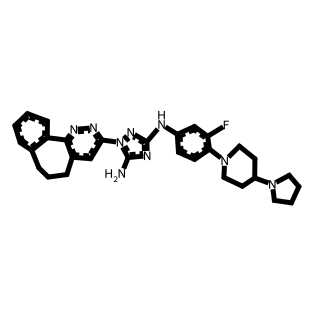 Nc1nc(Nc2ccc(N3CCC(N4CCCC4)CC3)c(F)c2)nn1-c1cc2c(nn1)-c1ccccc1CCC2